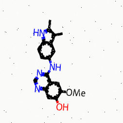 COc1cc2c(Nc3ccc4[nH]c(C)c(C)c4c3)ncnc2cc1O